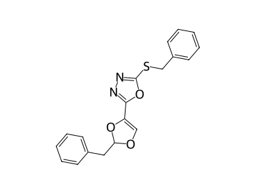 C1=C(c2nnc(SCc3ccccc3)o2)OC(Cc2ccccc2)O1